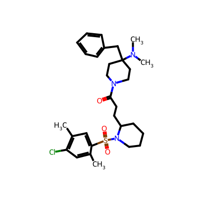 Cc1cc(S(=O)(=O)N2CCCCC2CCC(=O)N2CCC(Cc3ccccc3)(N(C)C)CC2)c(C)cc1Cl